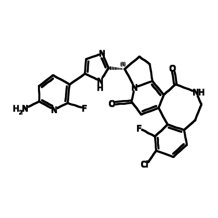 Nc1ccc(-c2cnc([C@@H]3CCc4c5c(cc(=O)n43)-c3c(ccc(Cl)c3F)CCNC5=O)[nH]2)c(F)n1